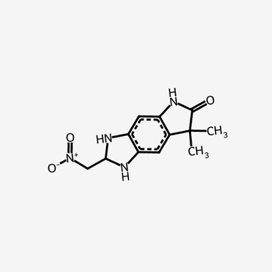 CC1(C)C(=O)Nc2cc3c(cc21)NC(C[N+](=O)[O-])N3